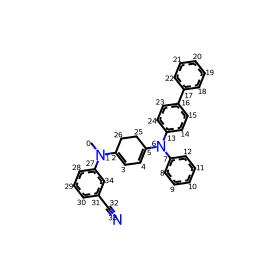 CN(C1=CC=C(N(c2ccccc2)c2ccc(-c3ccccc3)cc2)CC1)c1cccc(C#N)c1